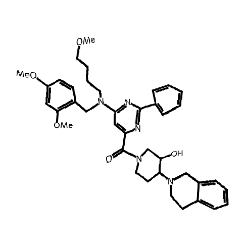 COCCCCN(Cc1ccc(OC)cc1OC)c1cc(C(=O)N2CCC(N3CCc4ccccc4C3)C(O)C2)nc(-c2ccccc2)n1